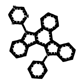 c1ccc(-n2c3ccccc3c3c4ccccc4c4c(c5ccccc5n4-c4ncncn4)c32)cc1